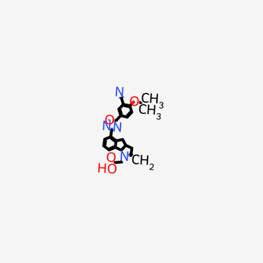 C=C1CC2Cc3c(-c4noc(-c5ccc(OC(C)C)c(C#N)c5)n4)cccc3C2N1CC(=O)O